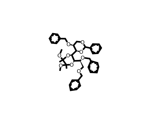 COC1(C)O[C@@H]([C@@H]2OC(c3ccccc3)OC[C@@H]2OCc2ccccc2)[C@H]([C@H](COCc2ccccc2)OCc2ccccc2)OC1(C)OC